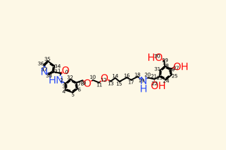 O=C(Nc1cccc(COCCOCCCCCCNC[C@@H](O)c2ccc(O)c(CO)c2)c1)c1cccnc1